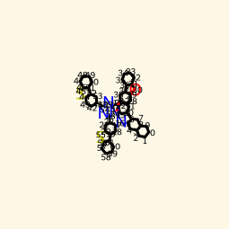 c1ccc2cc3c(cc2c1)c1ccccc1n3-c1cc2c(cc1-c1nc(-c3ccc4oc5ccccc5c4c3)nc(-c3ccc4sc5ccccc5c4c3)n1)sc1ccccc12